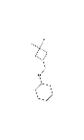 FC1(F)CC(COC2CCCCC2)C1